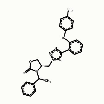 CC(c1ccccc1)N1C(=O)OC[C@H]1Cn1nnc(-c2ccccc2Nc2ccc(C(F)(F)F)cc2)n1